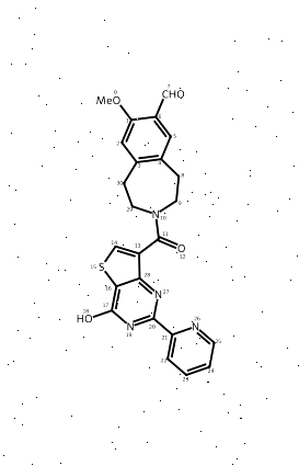 COc1cc2c(cc1C=O)CCN(C(=O)c1csc3c(O)nc(-c4ccccn4)nc13)CC2